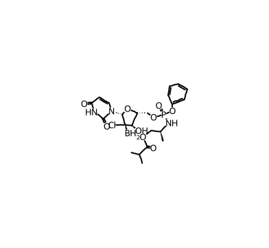 B[C@]1(Cl)[C@H](O)[C@@H](CO[P@@](=O)(N[C@@H](C)COC(=O)C(C)C)Oc2ccccc2)O[C@H]1n1ccc(=O)[nH]c1=O